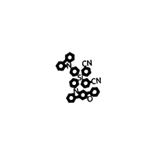 N#Cc1cccc([Si](c2ccc(-n3c4ccccc4c4ccccc43)cc2)(c2cccc(C#N)c2)c2cccc(-n3c4ccccc4c4cc5oc6ccccc6c5cc43)c2)c1